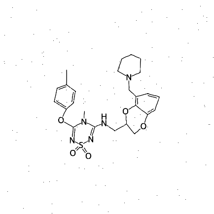 Cc1ccc(OC2=NS(=O)(=O)N=C(NCC3COc4cccc(CN5CCCCC5)c4O3)N2C)cc1